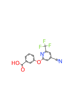 N#Cc1cc(Oc2cccc(C(=O)O)c2)nc(C(F)(F)F)c1